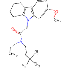 CCN(CCC(C)(C)C)C(=O)Cn1c2c(c3ccc(OC)cc31)CCCC2